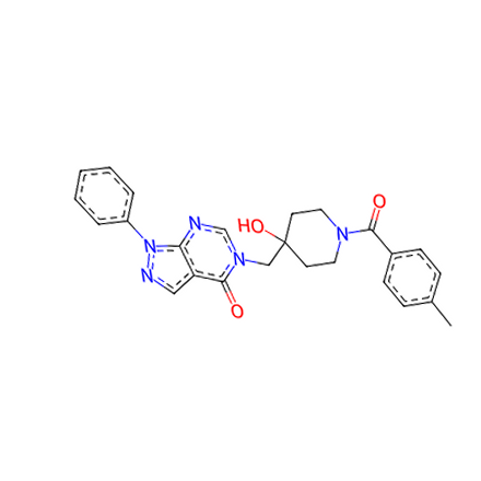 Cc1ccc(C(=O)N2CCC(O)(Cn3cnc4c(cnn4-c4ccccc4)c3=O)CC2)cc1